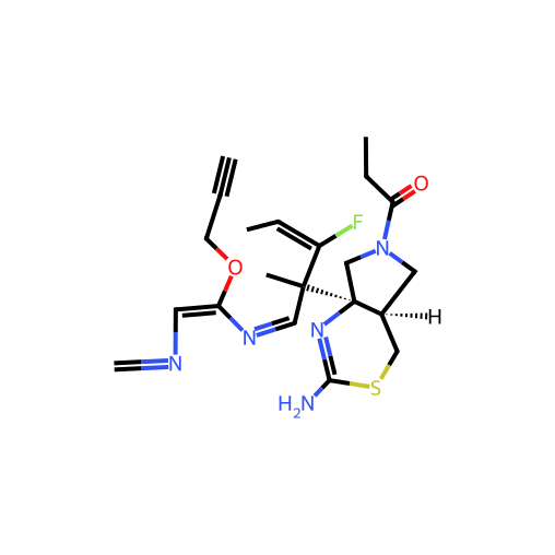 C#CCOC(=C/N=C)/N=C\C(C)(/C(F)=C\C)[C@]12CN(C(=O)CC)C[C@H]1CSC(N)=N2